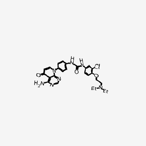 CCN(CC)CCOc1ccc(NC(=O)Nc2ccc(-n3ccc(=O)c4c(N)ncnc43)cc2)cc1Cl